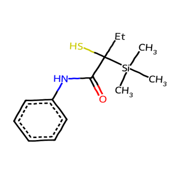 CCC(S)(C(=O)Nc1ccccc1)[Si](C)(C)C